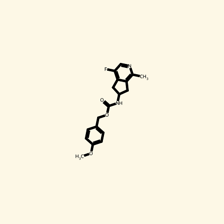 COc1ccc(COC(=O)NC2Cc3c(F)cnc(C)c3C2)cc1